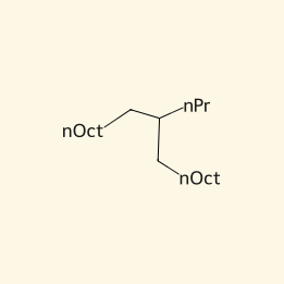 CCCCCCCCCC(CCC)CCCCCCCCC